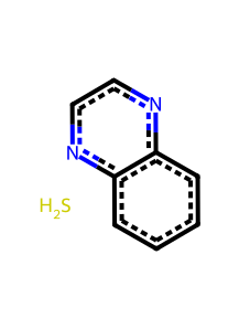 S.c1ccc2nccnc2c1